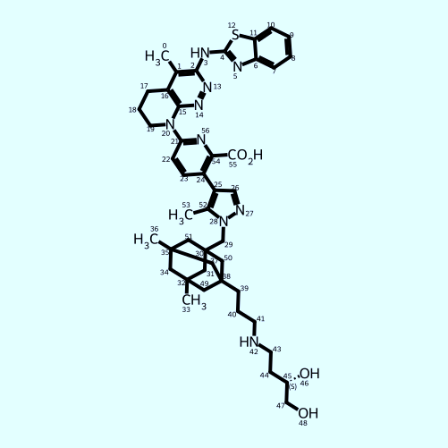 Cc1c(Nc2nc3ccccc3s2)nnc2c1CCCN2c1ccc(-c2cnn(CC34CC5(C)CC(C)(CC(CCCNCC[C@H](O)CO)(C5)C3)C4)c2C)c(C(=O)O)n1